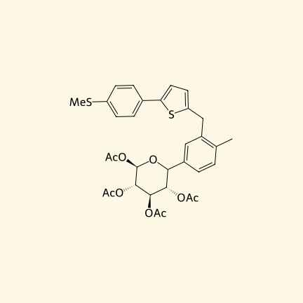 CSc1ccc(-c2ccc(Cc3cc(C4O[C@H](OC(C)=O)[C@@H](OC(C)=O)[C@H](OC(C)=O)[C@H]4OC(C)=O)ccc3C)s2)cc1